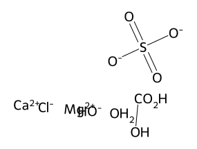 O.O=C(O)O.O=S(=O)([O-])[O-].[Ca+2].[Cl-].[Mg+2].[OH-]